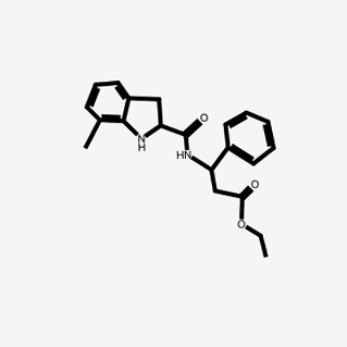 CCOC(=O)CC(NC(=O)C1Cc2cccc(C)c2N1)c1ccccc1